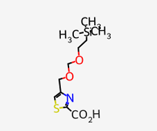 C[Si](C)(C)CCOCOCc1csc(C(=O)O)n1